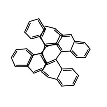 c1ccc(C(c2ccccc2)c2ccc3ccccc3c2-c2c(C(c3ccccc3)c3ccccc3)ccc3ccccc23)cc1